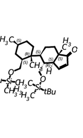 C[C@H]1CC[C@](C)([C@H]2CC[C@]3(C)C(=O)C=C[C@H]3[C@@H]2CO[Si](C)(C)C(C)(C)C)[C@@H](CO[Si](C)(C)C(C)(C)C)C1